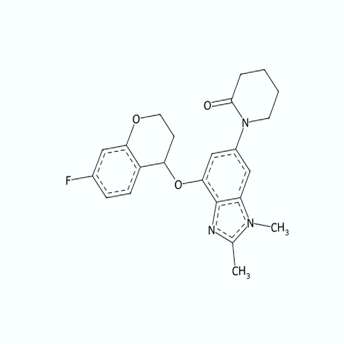 Cc1nc2c(OC3CCOc4cc(F)ccc43)cc(N3CCCCC3=O)cc2n1C